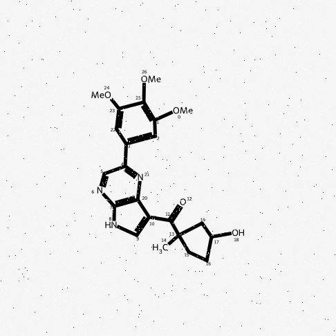 COc1cc(-c2cnc3[nH]cc(C(=O)C4(C)CCC(O)C4)c3n2)cc(OC)c1OC